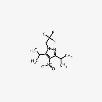 CC(C)c1nn(CC(F)(F)F)c(C(C)C)c1[N+](=O)[O-]